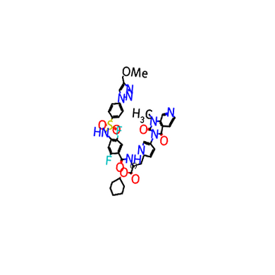 COCc1cn(-c2ccc(S(=O)(=O)Nc3cc(F)c(C(=O)N[C@@H](Cc4ccc(-n5c(=O)c6ccncc6n(C)c5=O)cn4)C(=O)OC4CCCCC4)cc3F)cc2)nn1